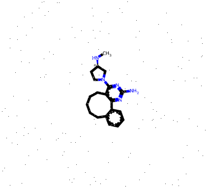 CN[C@@H]1CCN(c2nc(N)nc3c2CCCCCc2ccccc2-3)C1